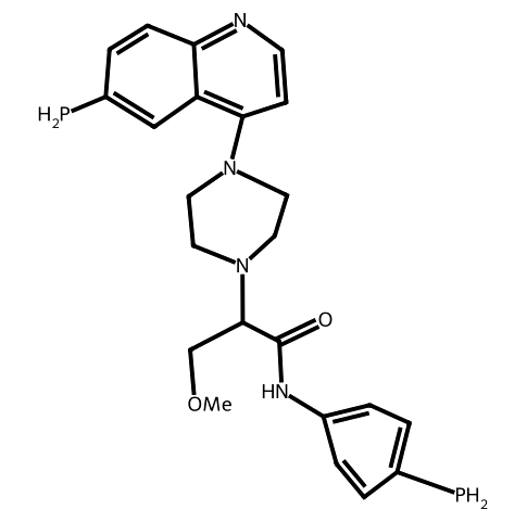 COCC(C(=O)Nc1ccc(P)cc1)N1CCN(c2ccnc3ccc(P)cc23)CC1